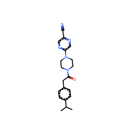 CC(C)c1ccc(CC(=O)N2CCN(c3cnc(C#N)cn3)CC2)cc1